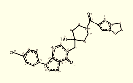 O=C(c1cc2n(n1)CCO2)N1CCC(O)(Cn2cnc3c(cnn3-c3ccc(Cl)cc3)c2=O)CC1